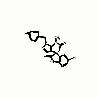 CN1C(=O)C[C@]2(C(=O)Nc3ccc(Cl)cc32)c2cnn(Cc3ccc(Cl)cc3)c21